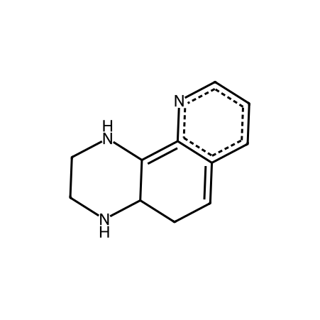 C1=c2cccnc2=C2NCCNC2C1